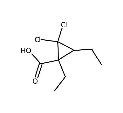 CCC1C(Cl)(Cl)C1(CC)C(=O)O